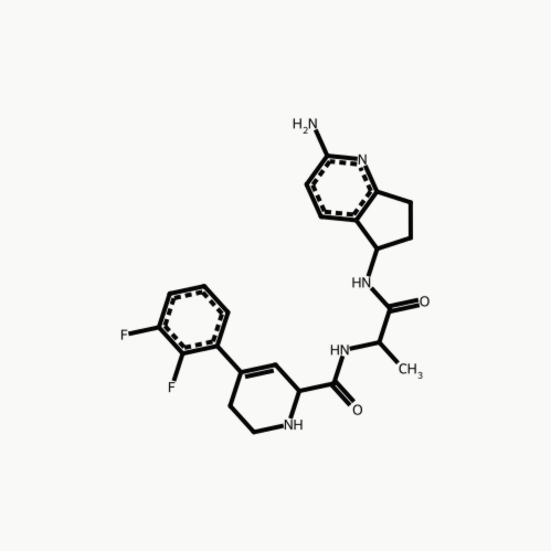 CC(NC(=O)C1C=C(c2cccc(F)c2F)CCN1)C(=O)NC1CCc2nc(N)ccc21